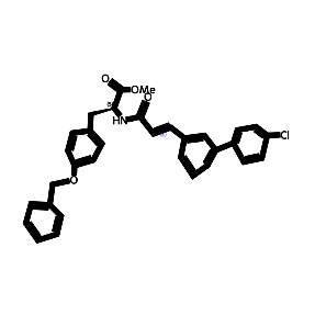 COC(=O)[C@H](Cc1ccc(OCc2ccccc2)cc1)NC(=O)/C=C/c1cccc(-c2ccc(Cl)cc2)c1